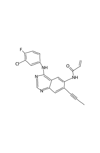 C=CC(=O)Nc1cc2c(Nc3ccc(F)c(Cl)c3)ncnc2cc1C#CC